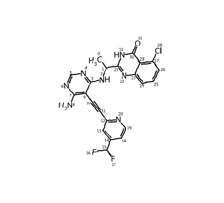 CC(Nc1ncnc(N)c1C#Cc1cc(C(F)F)ccn1)c1nc2cccc(Cl)c2c(=O)[nH]1